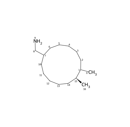 CC1CCCCCC(CN)CCCCC[C@@H]1C